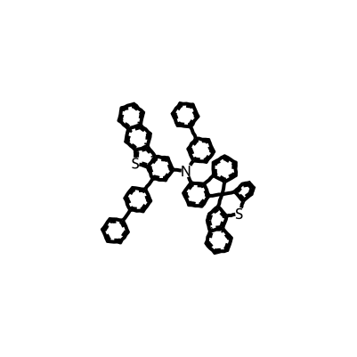 c1ccc(-c2ccc(-c3cc(N(c4cccc(-c5ccccc5)c4)c4cccc5c4-c4ccccc4C54c5ccccc5Sc5c4ccc4ccccc54)cc4c3sc3cc5ccccc5cc34)cc2)cc1